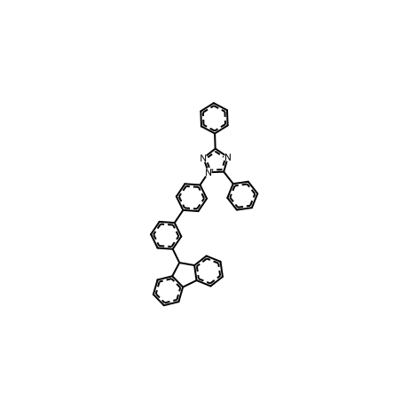 c1ccc(-c2nc(-c3ccccc3)n(-c3ccc(-c4cccc(C5c6ccccc6-c6ccccc65)c4)cc3)n2)cc1